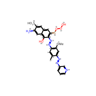 COc1cc(N=Nc2cccnc2)c(C)cc1N=Nc1c(SOOO)cc2cc(S(=O)(=O)O)c(N)cc2c1O